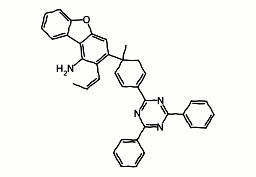 C/C=C\c1c(C2(C)C=CC(c3nc(-c4ccccc4)nc(-c4ccccc4)n3)=CC2)cc2oc3ccccc3c2c1N